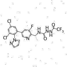 C[C@@H](NC(=O)NNC(=O)C(F)(F)F)c1ncc(-c2cc(Cl)cc(Cl)c2-n2cccn2)cc1F